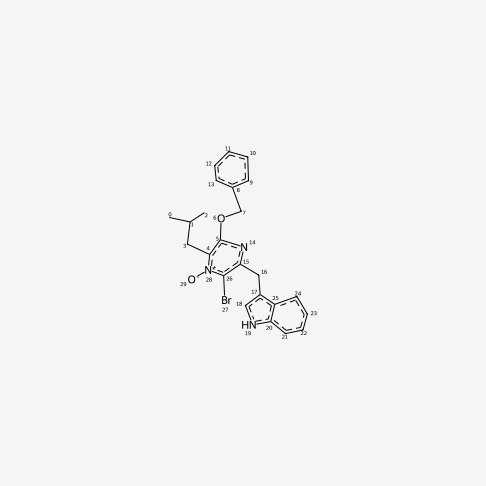 CC(C)Cc1c(OCc2ccccc2)nc(Cc2c[nH]c3ccccc23)c(Br)[n+]1[O-]